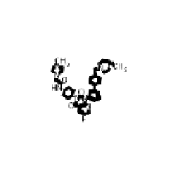 CN1CCN(CC(=O)N[C@H]2CC[C@@H](n3c(=O)c4cc(F)cnc4n(-c4cccc(-c5ccc(CN6CCCN(C)CC6)cc5)c4)c3=O)CC2)CC1